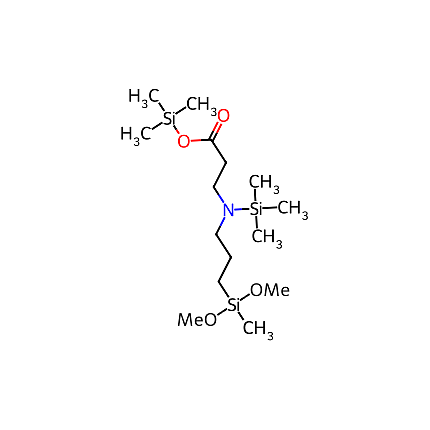 CO[Si](C)(CCCN(CCC(=O)O[Si](C)(C)C)[Si](C)(C)C)OC